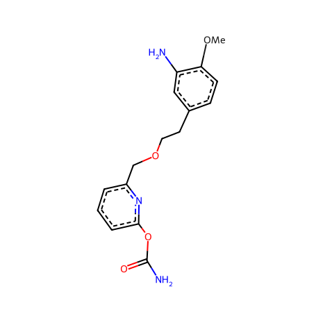 COc1ccc(CCOCc2cccc(OC(N)=O)n2)cc1N